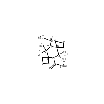 CC(C)(C)C(=O)N1C2(CCC2)[C@](C)(O)N(C(=O)C(C)(C)C)C2(CCC2)[C@]1(O)C(F)(F)F